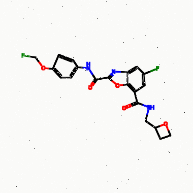 O=C(Nc1ccc(OCF)cc1)c1nc2cc(F)cc(C(=O)NCC3CCO3)c2o1